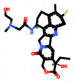 CC[C@@]1(O)C(=O)OCc2c1cc1n(c2=O)Cc2c-1nc1cc(F)c(C)c3c1c2[C@@H](NC(=O)CN(C)CCO)CC3